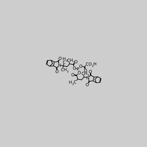 CC(CC(C)N1C(=O)C2C3C=CC(C3)C2C1=O)C(=O)OP(OC(=O)C(=O)O)OC(=O)C(C)CC(C)(C)N1C(=O)C2C3C=CC(C3)C2C1=O